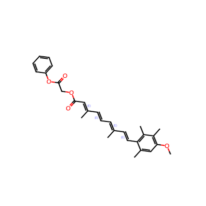 COc1cc(C)c(/C=C/C(C)=C/C=C/C(C)=C/C(=O)OCC(=O)Oc2ccccc2)c(C)c1C